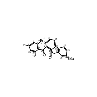 Cc1cc(C)c(C(=O)c2c(C(C)(C)C)ccc3c2[PH](=O)c2cc(C(C)(C)C)ccc2-3)c(C)c1